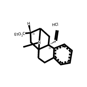 C=C[C@@]12CC3[C@@H](C(=O)OCC)CC1C(Cc1ccccc12)N3C.Cl